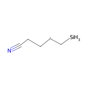 N#CCC[CH]C[SiH3]